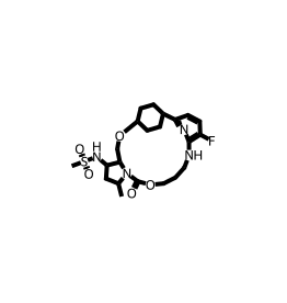 CC1CC(NS(C)(=O)=O)C2COC3CCC(CC3)c3ccc(F)c(n3)NCCCOC(=O)N12